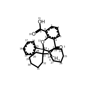 C[C@@H]1C(=O)c2cccc(C(=O)O)c2O[C@@]1(c1ccccc1)C1(N2CCCCC2)CCCCC1